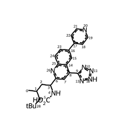 CC(CC(NC(=O)O)c1cc(-c2nn[nH]n2)c2cc(-c3ccncc3)ccc2n1)CC(C)(C)C